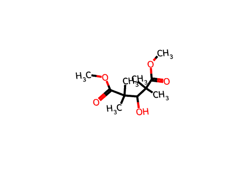 COC(=O)C(C)(C)C(O)C(C)(C)C(=O)OC